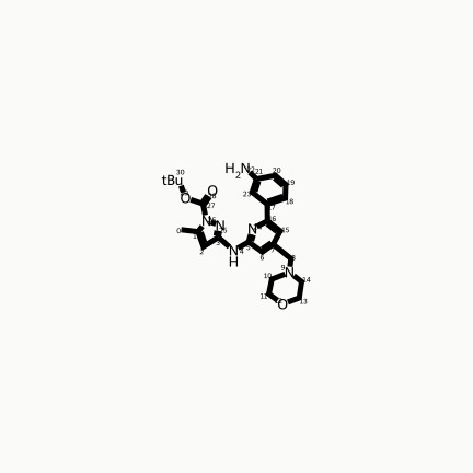 Cc1cc(Nc2cc(CN3CCOCC3)cc(-c3cccc(N)c3)n2)nn1C(=O)OC(C)(C)C